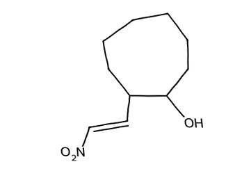 O=[N+]([O-])/C=C/C1CCCCCCC1O